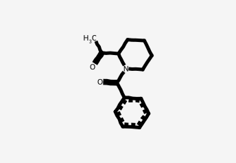 CC(=O)C1CCCCN1C(=O)c1ccccc1